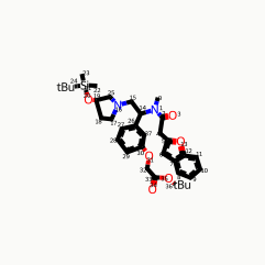 CN(C(=O)Cc1cc2ccccc2o1)C(CN1CCC(O[Si](C)(C)C(C)(C)C)C1)c1cccc(OCC(=O)OC(C)(C)C)c1